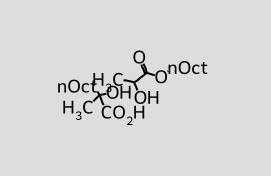 CCCCCCCCC(C)(O)C(=O)O.CCCCCCCCOC(=O)C(C)O